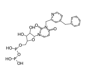 O=c1ccn(C2OC(COP(O)OP(O)O)C(O)C2O)c(=O)n1Cc1cc(Cc2ccccc2)ccn1